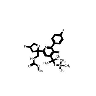 CCCCOC(=O)NCC1(c2cc(C(C)(C)O[Si](C)(C)C(C)(C)C)c(F)c(-c3ccc(F)cc3)n2)CC(F)CO1